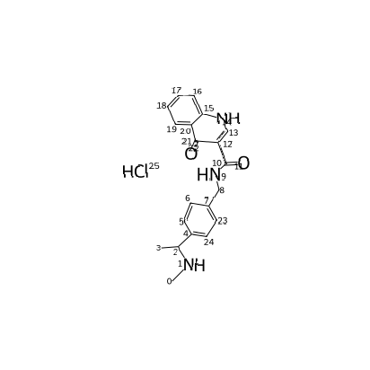 CNC(C)c1ccc(CNC(=O)c2c[nH]c3ccccc3c2=O)cc1.Cl